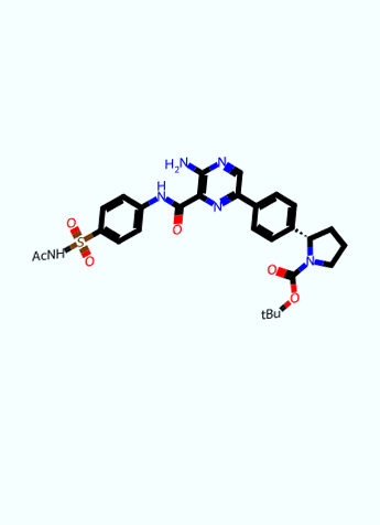 CC(=O)NS(=O)(=O)c1ccc(NC(=O)c2nc(-c3ccc([C@@H]4CCCN4C(=O)OC(C)(C)C)cc3)cnc2N)cc1